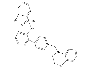 O=S(=O)(Nc1nccnc1-c1ccc(CN2CCOc3ccccc32)cc1)c1ccccc1C(F)(F)F